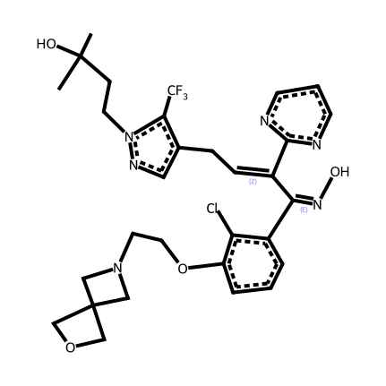 CC(C)(O)CCn1ncc(C/C=C(/C(=N\O)c2cccc(OCCN3CC4(COC4)C3)c2Cl)c2ncccn2)c1C(F)(F)F